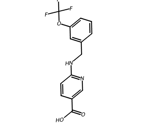 O=C(O)c1ccc(NCc2cccc(OC(F)(F)F)c2)nc1